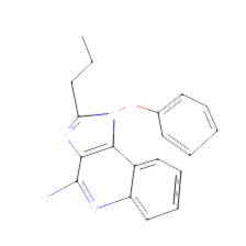 CCCc1nc2c(N)nc3ccccc3c2n1Oc1ccccc1